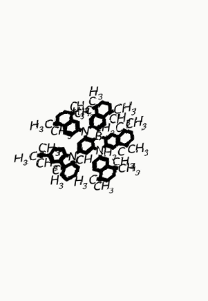 CC(C)(C)c1ccc2c(c1)C1(C)CCCCC1(C)N2c1cc2c3c(c1)N(c1ccc4c(c1)C(C)(C)CCC4(C)C)c1cc4c(cc1B3c1cc3c(cc1N2c1ccc2c(c1)C(C)(C)CCC2(C)C)C(C)(C)CCC3(C)C)C(C)(C)CCC4(C)C